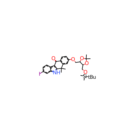 CC1(C)OC(COc2ccc3c(c2)C(C)(C)c2[nH]c4cc(I)ccc4c2C3=O)C(CO[Si](C)(C)C(C)(C)C)O1